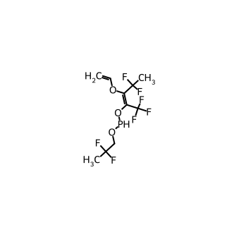 C=CO/C(=C(\OPOCC(C)(F)F)C(F)(F)F)C(C)(F)F